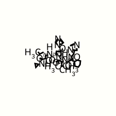 CCC[C@H](NC(=O)[C@@H]1C[C@@H](Oc2ccncn2)CN1C(=O)[C@@H](NC(=O)[C@@H](NC(=O)c1cnccn1)C1CCCCC1)C(C)(C)C)C(=O)C(=O)NC1CC1